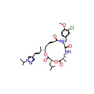 COc1ccc(C[C@H]2NC(=O)/C=C/C[C@@H](C(C)/C=C/c3cnn(C(C)C)c3)OC(=O)[C@H](CC(C)C)OC(=O)[C@H](C)CNC2=O)cc1Cl